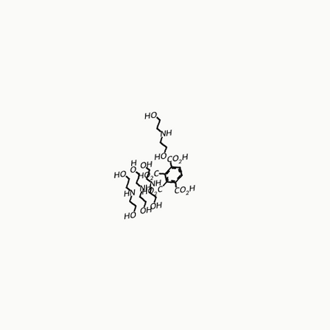 O=C(O)c1ccc(C(=O)O)c(C(=O)O)c1C(=O)O.OCCNCCO.OCCNCCO.OCCNCCO.OCCNCCO